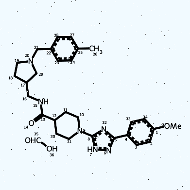 COc1ccc(-c2n[nH]c(N3CCC(C(=O)NCC4CCN(Cc5ccc(C)cc5)C4)CC3)n2)cc1.O=CO